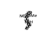 COc1cc(-c2ccnc(Nc3ccc(CN4CCC4)nc3)n2)cc(C#N)c1OC1CCOCC1